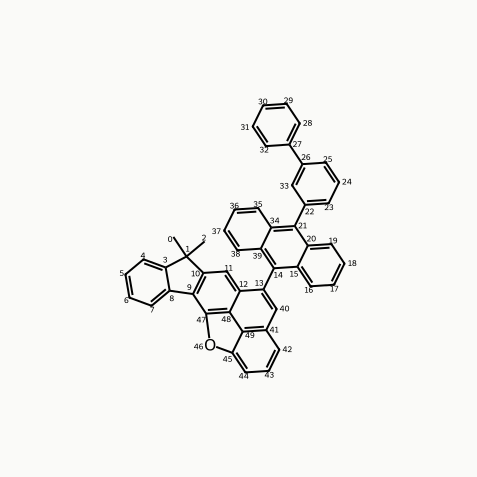 CC1(C)c2ccccc2-c2c1cc1c(-c3c4ccccc4c(-c4cccc(-c5ccccc5)c4)c4ccccc34)cc3cccc4oc2c1c34